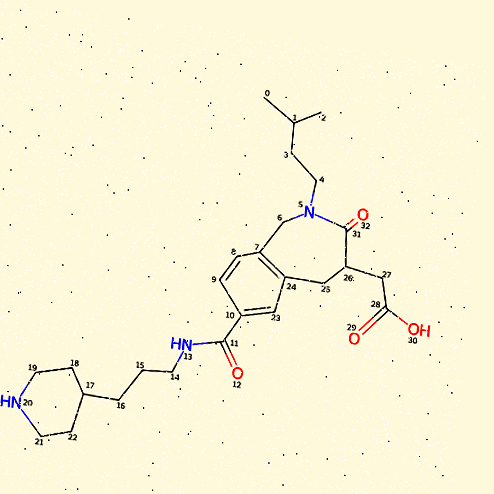 CC(C)CCN1Cc2ccc(C(=O)NCCCC3CCNCC3)cc2CC(CC(=O)O)C1=O